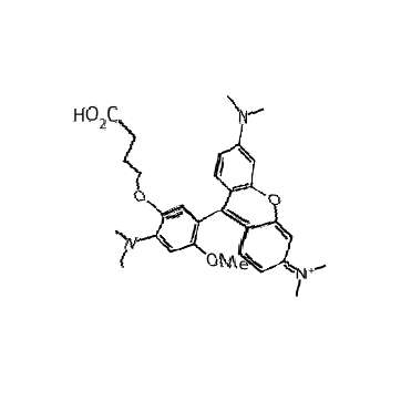 COc1cc(N(C)C)c(OCCCC(=O)O)cc1-c1c2ccc(=[N+](C)C)cc-2oc2cc(N(C)C)ccc12